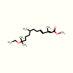 CCOC(C)(C)CCCC(C)CC/C=C/C(C)=C/C(=O)OC